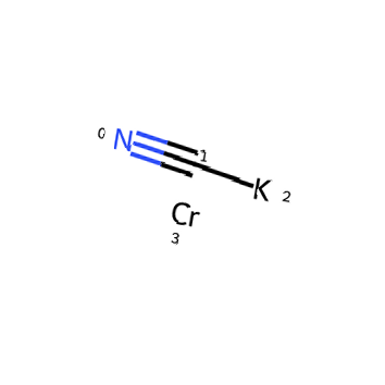 N#[C][K].[Cr]